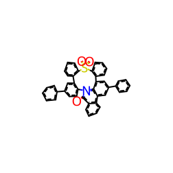 O=c1c2ccccc2c2cc(-c3ccccc3)cc3c2n1-c1ccc(-c2ccccc2)cc1-c1ccccc1S(=O)(=O)c1ccccc1-3